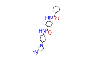 CN(C)C1CCN(c2ccc(NC(=O)c3ccc(NC(=O)C4=CCCCC4)cc3)cc2)C1